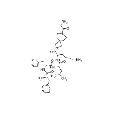 CC(C)C[C@@H](NC(=O)[C@@H](Cc1ccccc1)NC(=O)[C@H](N)Cc1ccccc1)C(=O)N[C@H](CCCCN)C(=O)N1CC2(CCN(C(=O)CN)CC2)C1